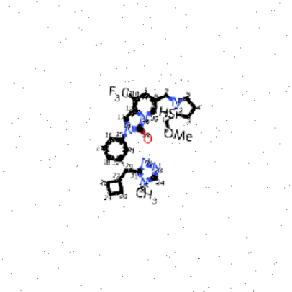 COC[Si@@H]1CCCN1Cc1cc(C(F)(F)F)c2cn(-c3cccc([C@H](c4nncn4C)C4CCC4)c3)c(=O)n2c1